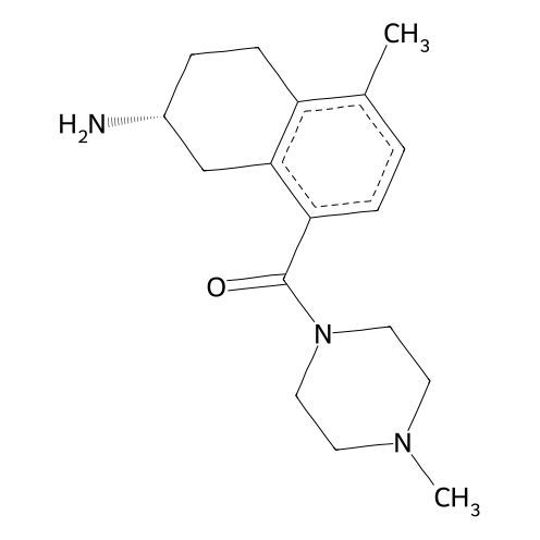 Cc1ccc(C(=O)N2CCN(C)CC2)c2c1CC[C@@H](N)C2